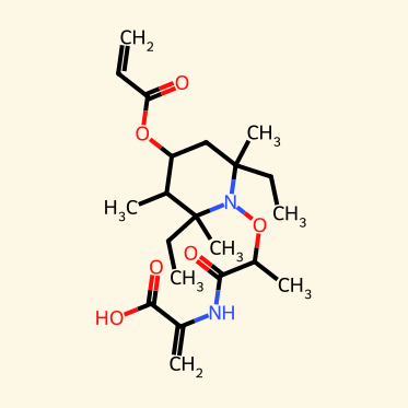 C=CC(=O)OC1CC(C)(CC)N(OC(C)C(=O)NC(=C)C(=O)O)C(C)(CC)C1C